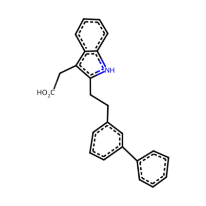 O=C(O)Cc1c(CCc2cccc(-c3ccccc3)c2)[nH]c2ccccc12